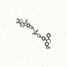 O=C1CCC(N2C(=O)c3cc4c(cc3C2=O)CN(CCC(=O)NC2CCN(c3ccc([C@@H]5c6ccc(O)cc6CC[C@@H]5c5ccccc5)cc3)CC2)C4)C(=O)N1